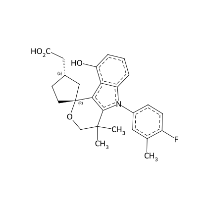 Cc1cc(-n2c3c(c4c(O)cccc42)[C@]2(CC[C@H](CC(=O)O)C2)OCC3(C)C)ccc1F